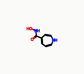 O=C(NO)C1=CC=CNC=C1